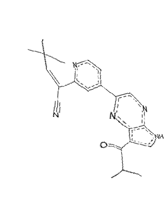 CC(C)C(=O)c1c[nH]c2ncc(-c3ccnc(/C(C#N)=C\C(C)(C)C)c3)nc12